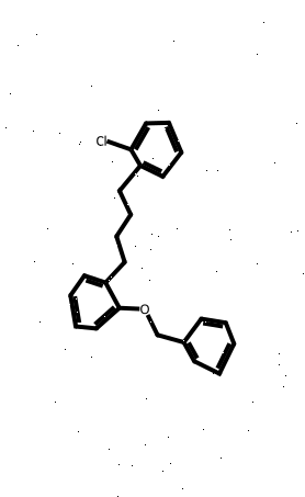 Clc1ccccc1CCCCc1ccccc1OCc1ccccc1